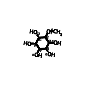 COC1C(O)[C@@H](O)C(O)[C@H](O)[C@H]1O